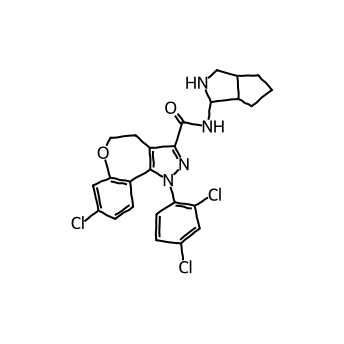 O=C(NC1NCC2CCCC21)c1nn(-c2ccc(Cl)cc2Cl)c2c1CCOc1cc(Cl)ccc1-2